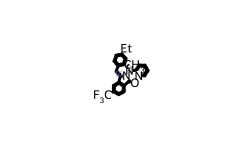 CCc1ccc(/C=C2/c3cc(C(F)(F)F)ccc3C(=O)N2N(C)c2ccccn2)cc1